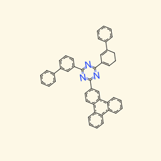 C1=C(c2ccccc2)CCC=C1c1nc(-c2cccc(-c3ccccc3)c2)nc(-c2ccc3c4ccccc4c4ccccc4c3c2)n1